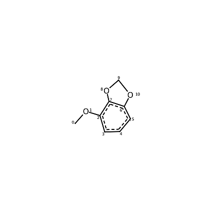 COc1cc[c]c2c1OCO2